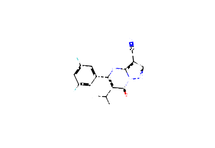 CC(C)c1c(-c2cc(F)cc(F)c2)[nH]c2c(C#N)cnn2c1=O